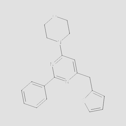 c1ccc(-c2nc(Cc3cccs3)cc(N3CCOCC3)n2)cc1